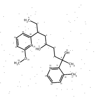 [CH2]CC(CC(O)CCC(C)(O)c1ncccc1C)c1cccc(OC)n1